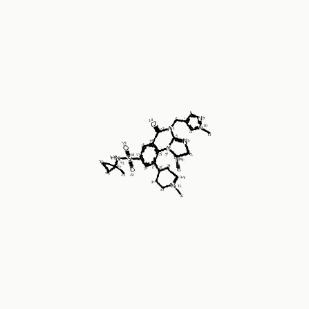 C[C@@H]1CN=C2N(Cc3cnn(C)c3)C(=O)c3cc(S(=O)(=O)NC4(C)CC4)cc(C4CCN(C)CC4)c3N21